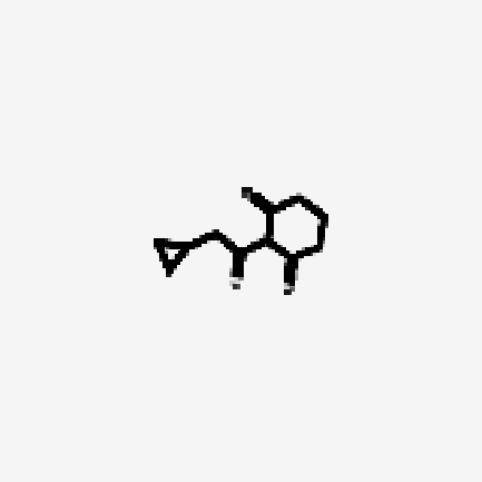 O=C1CCCC(=O)C1C(=O)CC1CC1